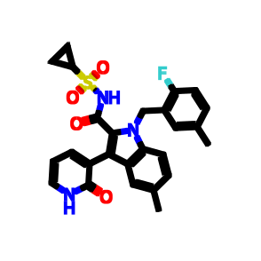 Cc1ccc(F)c(Cn2c(C(=O)NS(=O)(=O)C3CC3)c(-c3ccc[nH]c3=O)c3cc(C)ccc32)c1